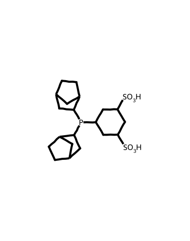 O=S(=O)(O)C1CC(P(C2CC3CCC2C3)C2CC3CCC2C3)CC(S(=O)(=O)O)C1